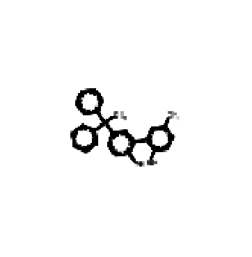 Cc1ccc(O)c(-c2cc(C(C)(c3ccccc3)c3ccccc3)ccc2O)c1